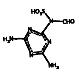 Nc1nc(N)nc(N(C=O)S(=O)(=O)O)n1